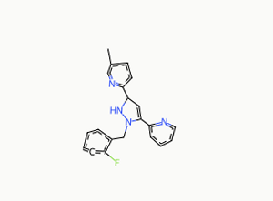 Cc1ccc(C2C=C(c3ccccn3)N(Cc3ccccc3F)N2)nc1